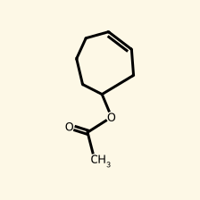 CC(=O)OC1CC=CCCC1